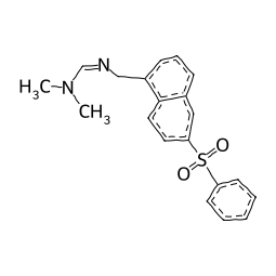 CN(C)/C=N\Cc1cccc2cc(S(=O)(=O)c3ccccc3)ccc12